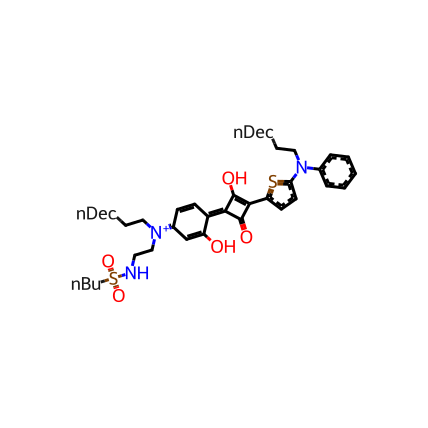 CCCCCCCCCCCCN(c1ccccc1)c1ccc(C2=C(O)/C(=C3C=C/C(=[N+](\CCCCCCCCCCCC)CCNS(=O)(=O)CCCC)C=C\3O)C2=O)s1